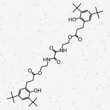 CC(C)(C)c1cc(CCC(=O)OCCNC(=O)C(=O)NCCOC(=O)CCc2cc(C(C)(C)C)cc(C(C)(C)C)c2O)c(O)c(C(C)(C)C)c1